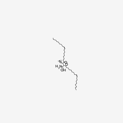 CCCCCCCC/C=C\CCCCCCCC(=O)C(CN(C)C)C(C(=O)CCCCCCC/C=C\CCCCCCCC)C(N)CO